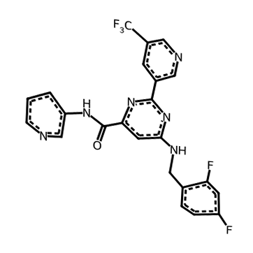 O=C(Nc1cccnc1)c1cc(NCc2ccc(F)cc2F)nc(-c2cncc(C(F)(F)F)c2)n1